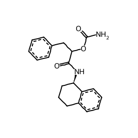 NC(=O)OC(Cc1ccccc1)C(=O)N[C@@H]1CCCc2ccccc21